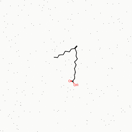 C=C(CCCCCCC)CCCCCCCCCC(=O)O